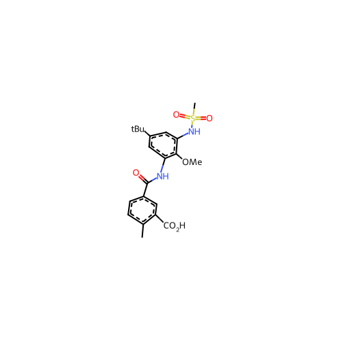 COc1c(NC(=O)c2ccc(C)c(C(=O)O)c2)cc(C(C)(C)C)cc1NS(C)(=O)=O